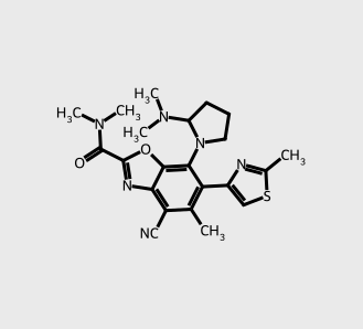 Cc1nc(-c2c(C)c(C#N)c3nc(C(=O)N(C)C)oc3c2N2CCCC2N(C)C)cs1